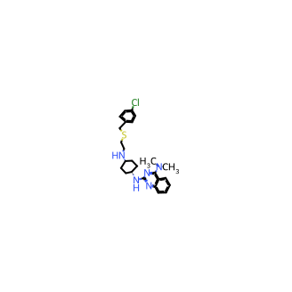 CN(C)c1nc(N[C@H]2CC[C@@H](NCCSCc3ccc(Cl)cc3)CC2)nc2ccccc12